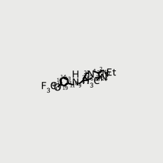 CCn1cc(CN2CC3C(CNCc4cccc(OC(F)(F)F)c4)C3C2)c(C)n1